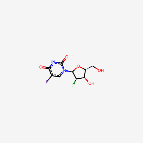 O=c1[nH]c(=O)n([C@H]2O[C@H](CO)[C@@H](O)[C@H]2F)cc1I